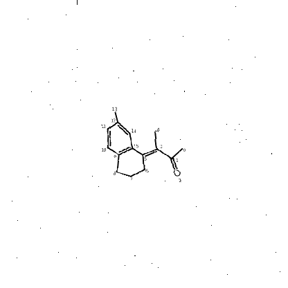 CC(=O)/C(C)=C1\CCCc2ccc(C)cc21